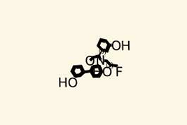 OC1=C[C@@H](C2COc3c(-c4cccc(O)c4)cccc3N2C[C@H](O)CF)CC=C1